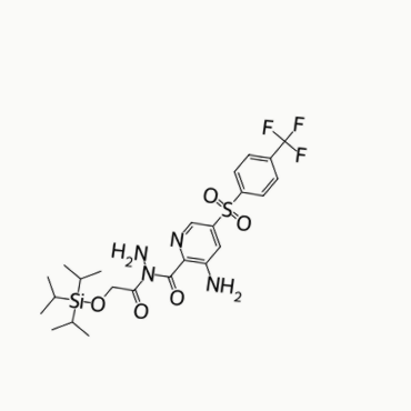 CC(C)[Si](OCC(=O)N(N)C(=O)c1ncc(S(=O)(=O)c2ccc(C(F)(F)F)cc2)cc1N)(C(C)C)C(C)C